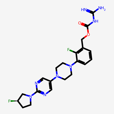 N=C(N)NC(=O)OCc1cccc(N2CCN(c3cnc(N4CC[C@@H](F)C4)nc3)CC2)c1F